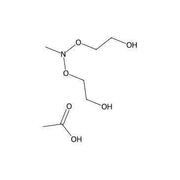 CC(=O)O.CN(OCCO)OCCO